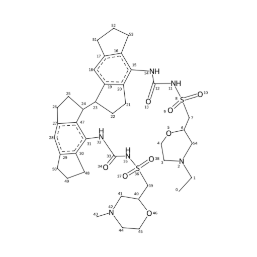 CCN1CCOC(CS(=O)(=O)NC(=O)Nc2c3c(cc4c2CCC4C2CCc4cc5c(c(NC(=O)NS(=O)(=O)CC6CN(C)CCO6)c42)CCC5)CCC3)C1